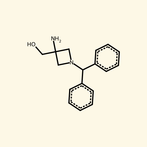 NC1(CO)CN(C(c2ccccc2)c2ccccc2)C1